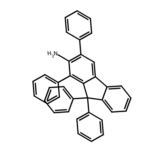 Nc1c(-c2ccccc2)cc2c(c1-c1ccccc1)C(c1ccccc1)(c1ccccc1)c1ccccc1-2